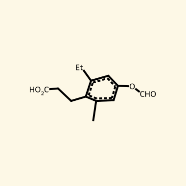 CCc1cc(OC=O)cc(C)c1CCC(=O)O